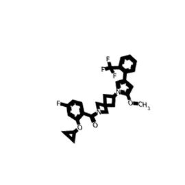 COc1cc(-c2ccccc2C(F)(F)F)cn1C1CC2(C1)CN(C(=O)c1ccc(F)cc1OC1CC1)C2